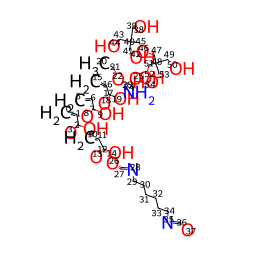 C=CC(=O)O.C=CC(=O)O.C=CC(=O)O.C=CC(=O)O.CCOC(N)=O.O=C=NCCCCCCN=C=O.OCC(CO)(CO)COCC(CO)(CO)CO